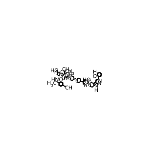 C#Cc1ccc([C@H](C)NC(=O)[C@@H]2C[C@@H](O)CN2C(=O)[C@@H](NC(=O)N2CCC(N3CCC(c4cnc(N5CCc6[nH]c7nnc(-c8ccccc8O)cc7c6[C@H]5CO)nc4)CC3)CC2)C(C)(C)C)cc1